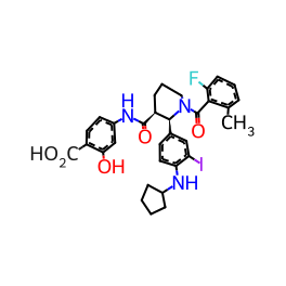 Cc1cccc(F)c1C(=O)N1CCC[C@H](C(=O)Nc2ccc(C(=O)O)c(O)c2)[C@@H]1c1ccc(NC2CCCC2)c(I)c1